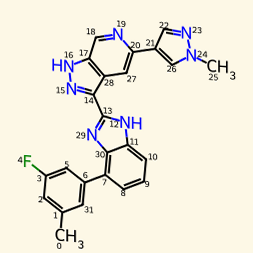 Cc1cc(F)cc(-c2cccc3[nH]c(-c4n[nH]c5cnc(-c6cnn(C)c6)cc45)nc23)c1